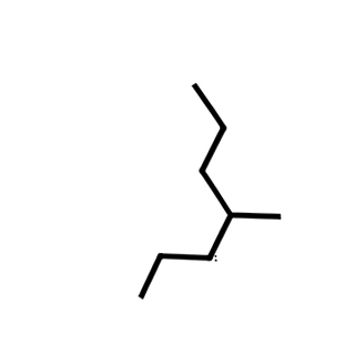 CC[C]C(C)CCC